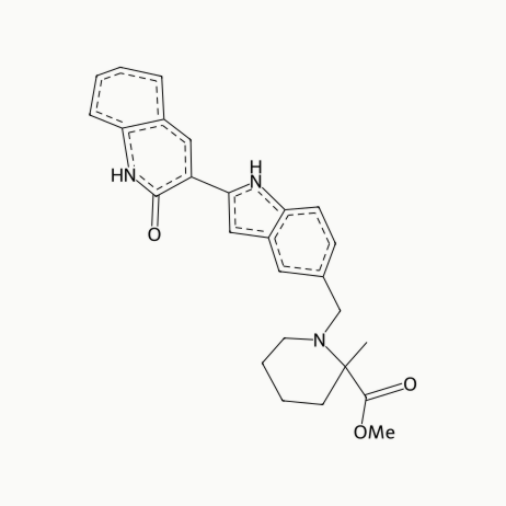 COC(=O)C1(C)CCCCN1Cc1ccc2[nH]c(-c3cc4ccccc4[nH]c3=O)cc2c1